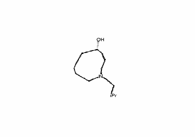 CC(C)CN1CCC[C@H](O)C1